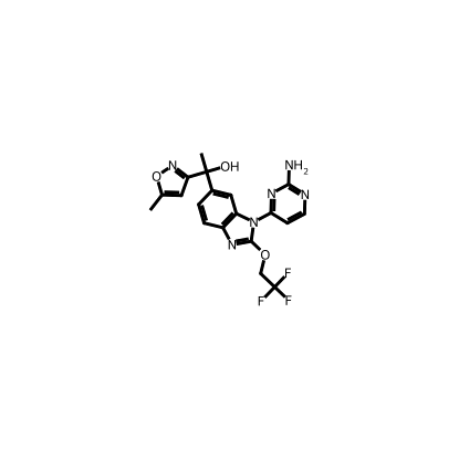 Cc1cc(C(C)(O)c2ccc3nc(OCC(F)(F)F)n(-c4ccnc(N)n4)c3c2)no1